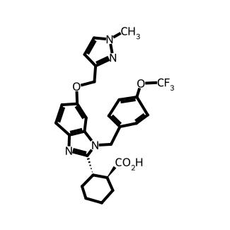 Cn1ccc(COc2ccc3nc([C@H]4CCCC[C@@H]4C(=O)O)n(Cc4ccc(OC(F)(F)F)cc4)c3c2)n1